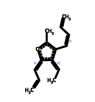 C=C/C=C\c1c(C)oc(=C/C=C)/c1=C\C